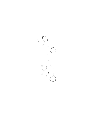 NC(=O)c1ccncc1C(=O)C(Cc1ccccc1)NCCCCCCNC(Cc1ccccc1)C(=O)c1cnccc1C(N)=O